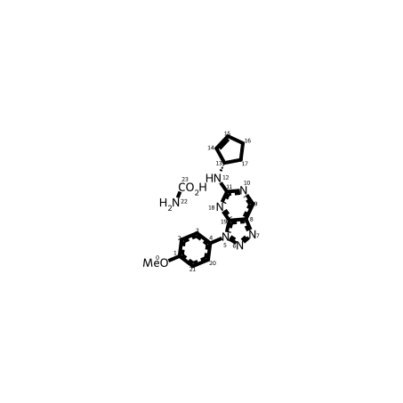 COc1ccc(-n2nnc3cnc(N[C@@H]4C=CCC4)nc32)cc1.NC(=O)O